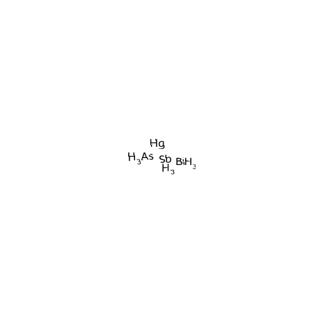 [AsH3].[BiH3].[Hg].[SbH3]